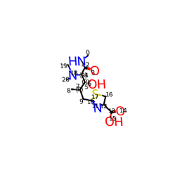 CNC(=O)[C@@H]([C@H](O)[C@H](C)CC1=NC(C(=O)O)CS1)N(C)C